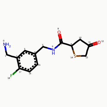 NCc1cc(CNC(=O)C2CC(=O)CS2)ccc1F